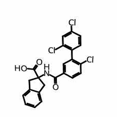 O=C(NC1(C(=O)O)Cc2ccccc2C1)c1ccc(Cl)c(-c2ccc(Cl)cc2Cl)c1